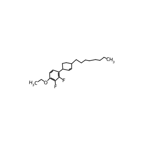 CCCCCCCCC1C=CC(c2ccc(OCC)c(F)c2F)CC1